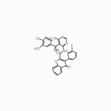 CC(Nc1ncnc(N)c1C(=N)c1ccc(Cl)c(O)c1)c1oc2ccccc2c(=O)c1-c1cccc(F)c1